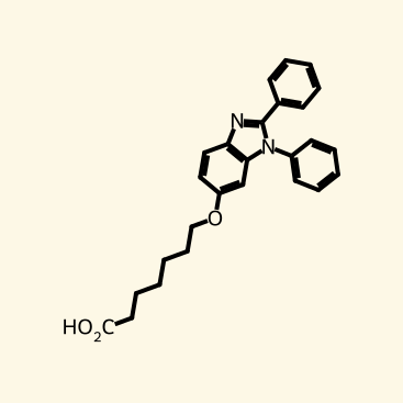 O=C(O)CCCCCCOc1ccc2nc(-c3ccccc3)n(-c3ccccc3)c2c1